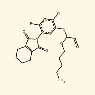 CCCCCOC(C=O)Oc1cc(N2C(=O)C3=C(CCCC3)C2=O)c(F)cc1Cl